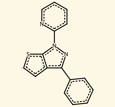 [c]1cc2c(-c3ccccc3)nn(-c3ccccn3)c2s1